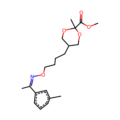 COC(=O)C1(C)OCC(CCCCON=C(C)c2cccc(C)c2)CO1